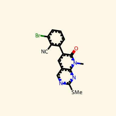 CSc1ncc2cc(-c3cccc(Br)c3C#N)c(=O)n(C)c2n1